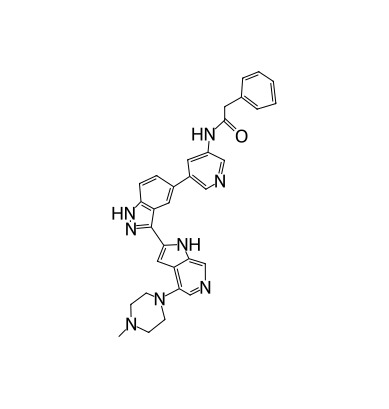 CN1CCN(c2cncc3[nH]c(-c4n[nH]c5ccc(-c6cncc(NC(=O)Cc7ccccc7)c6)cc45)cc23)CC1